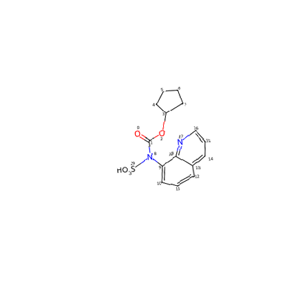 O=C(OC1CCCC1)N(c1cccc2cccnc12)S(=O)(=O)O